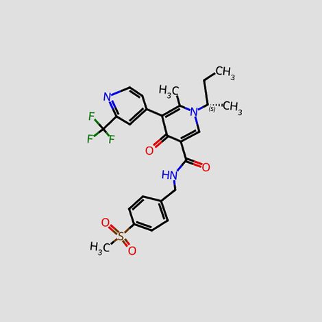 CC[C@H](C)n1cc(C(=O)NCc2ccc(S(C)(=O)=O)cc2)c(=O)c(-c2ccnc(C(F)(F)F)c2)c1C